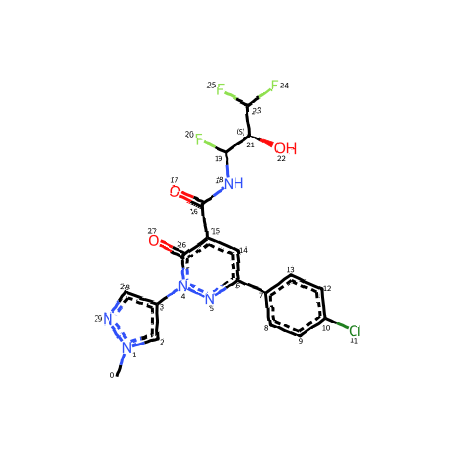 Cn1cc(-n2nc(-c3ccc(Cl)cc3)cc(C(=O)NC(F)[C@H](O)C(F)F)c2=O)cn1